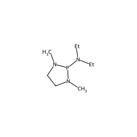 CCN(CC)P1N(C)CCN1C